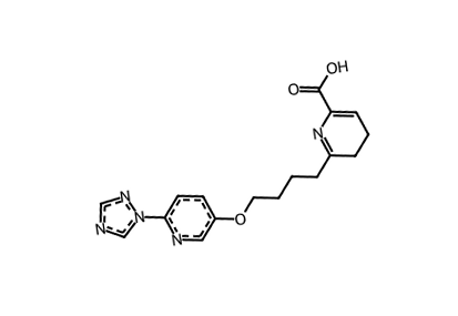 O=C(O)C1=CCCC(CCCCOc2ccc(-n3cncn3)nc2)=N1